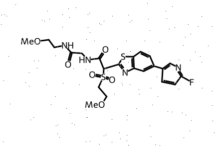 COCCNC(=O)CNC(=O)C(c1nc2cc(-c3ccc(F)nc3)ccc2s1)S(=O)(=O)CCOC